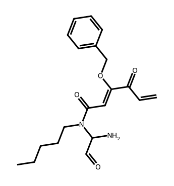 C=CC(=O)/C(=C/C(=O)N(CCCCC)C(N)C=O)OCc1ccccc1